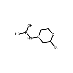 CCC1CN(NP(O)O)CCO1